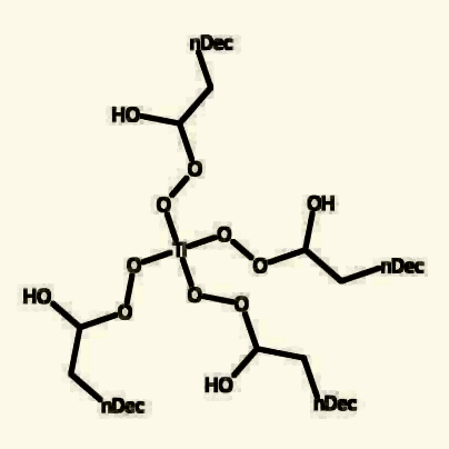 CCCCCCCCCCCC(O)O[O][Ti]([O]OC(O)CCCCCCCCCCC)([O]OC(O)CCCCCCCCCCC)[O]OC(O)CCCCCCCCCCC